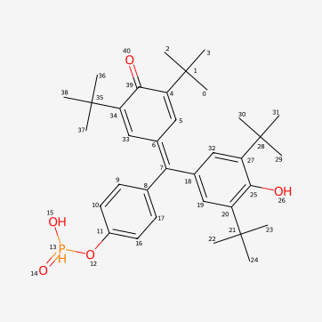 CC(C)(C)C1=CC(=C(c2ccc(O[PH](=O)O)cc2)c2cc(C(C)(C)C)c(O)c(C(C)(C)C)c2)C=C(C(C)(C)C)C1=O